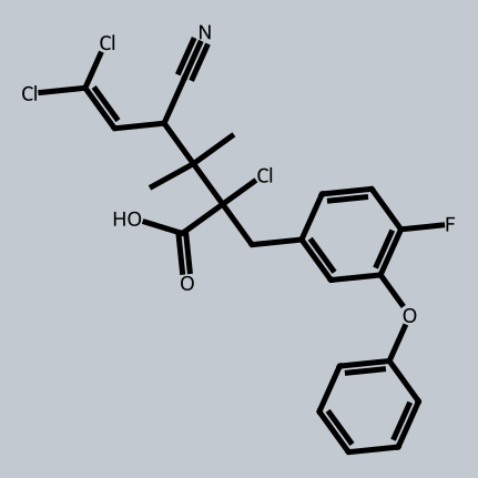 CC(C)(C(C#N)C=C(Cl)Cl)C(Cl)(Cc1ccc(F)c(Oc2ccccc2)c1)C(=O)O